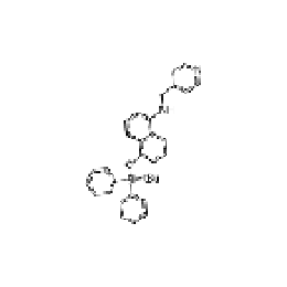 CC(C)(C)[Si](Oc1cccc2c(NCc3ccncc3)cccc12)(c1ccccc1)c1ccccc1